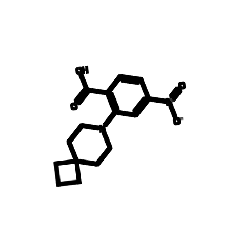 O=C(O)c1ccc([N+](=O)[O-])cc1N1CCC2(CCC2)CC1